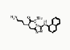 CC(C)(C)OC(=O)C(CCCN)Cc1nnc(Nc2cccc3ccccc23)[se]1